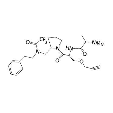 C#CCOC[C@H](NC(=O)[C@H](C)NC)C(=O)N1CCC[C@H]1CN(CCc1ccccc1)C(=O)C(F)(F)F